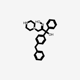 ON=C(CN1CCNCC1)C(O)(c1ccccc1)c1ccc(Cc2ccccc2)cc1